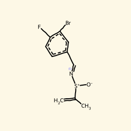 C=C(C)[S+]([O-])/N=C/c1ccc(F)c(Br)c1